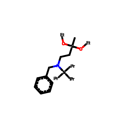 CCO[Si](C)(CCN(Cc1ccccc1)[Si](C(C)C)(C(C)C)C(C)C)OCC